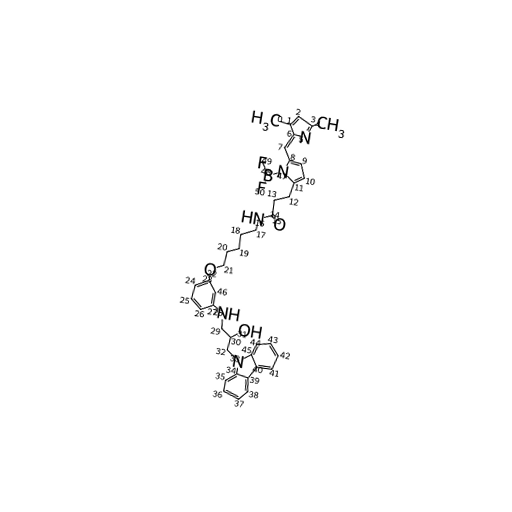 CC1=CC(C)=N/C1=C\c1ccc(CCC(=O)NCCCCCOc2cccc(NCC(O)Cn3c4ccccc4c4ccccc43)c2)n1B(F)F